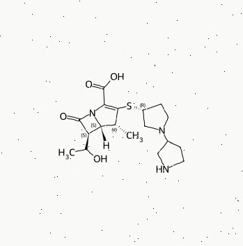 CC(O)[C@H]1C(=O)N2C(C(=O)O)=C(S[C@@H]3CCN(C4CCNC4)C3)[C@H](C)[C@H]12